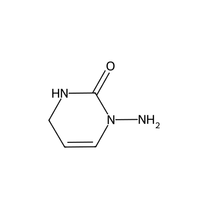 NN1C=CCNC1=O